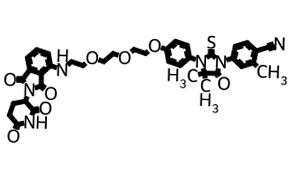 Cc1cc(N2C(=O)C(C)(C)N(c3ccc(OCCOCCOCCNc4cccc5c4C(=O)N(C4CCC(=O)NC4=O)C5=O)cc3)C2=S)ccc1C#N